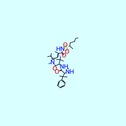 CCCCC(C)S(=O)(=O)NC(=O)/C(C)=C/[C@H](C(C)C)N(C)C(=O)C(NC(=O)C(NC)C(C)(C)c1ccccc1)C(C)(C)C